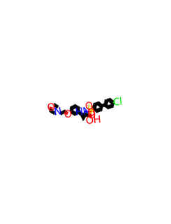 O=C(O)C1(NS(=O)(=O)c2ccc(-c3ccc(Cl)cc3)cc2)CC1c1cccc(OCCN2CCOCC2)c1